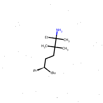 CCC(C)(N)C(C)(C)CC[C@H](C(C)C)C(C)(C)C